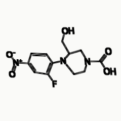 O=C(O)N1CCN(c2ccc([N+](=O)[O-])cc2F)C(CO)C1